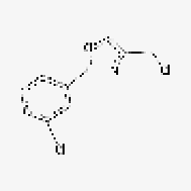 ClCc1coc(-c2cccc(Cl)c2)n1